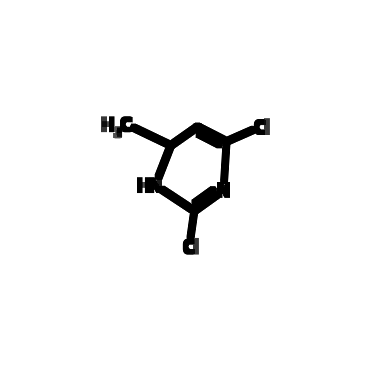 CC1C=C(Cl)N=C(Cl)N1